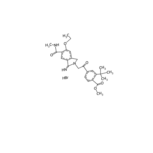 Br.CCOc1cc2c(cc1C(=O)NC)C(=N)N(CC(=O)c1ccc(C(=O)OC)c(C(C)(C)C)c1)C2